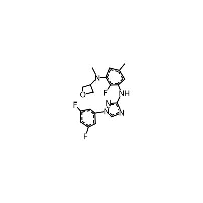 Cc1cc(Nc2ncn(-c3cc(F)cc(F)c3)n2)c(F)c(N(C)C2COC2)c1